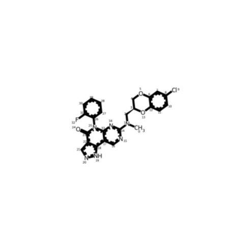 CN(C[C@H]1COc2cc(Cl)ccc2O1)c1ncc2c3[nH]ncc3c(=O)n(-c3ccccc3F)c2n1